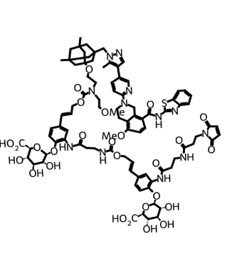 COCCN(CCOC12CC3(C)CC(C)(CC(Cn4ncc(-c5ccc(N6CCc7c(OC)ccc(C(=O)Nc8nc9ccccc9s8)c7C6)nc5)c4C)(C3)C1)C2)C(=O)OC/C=C/c1ccc(O[C@@H]2O[C@H](C(=O)O)[C@@H](O)[C@H](O)[C@H]2O)c(NC(=O)CCNC(=O)OC/C=C/c2ccc(O[C@@H]3O[C@H](C(=O)O)[C@@H](O)[C@H](O)[C@H]3O)c(NC(=O)CCNC(=O)CCN3C(=O)C=CC3=O)c2)c1